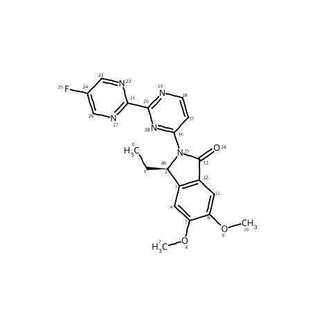 CC[C@@H]1c2cc(OC)c(OC)cc2C(=O)N1c1ccnc(-c2ncc(F)cn2)n1